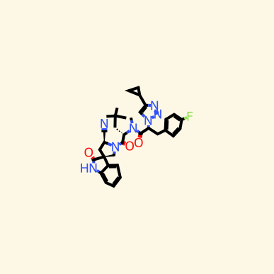 CN(C(=O)C(Cc1ccc(F)cc1)n1cc(C2CC2)nn1)[C@@H](CC(C)(C)C)C(=O)N1C[C@]2(C[C@H]1C#N)C(=O)Nc1ccccc12